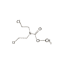 COC(=O)N(CCCl)CCCl